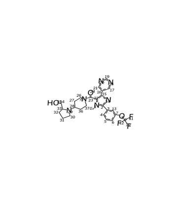 Cn1c(-c2cccc(OC(F)(F)F)c2)nc(-c2cncnc2)c1C(=O)N1CCC(N2CCCC2CO)CC1